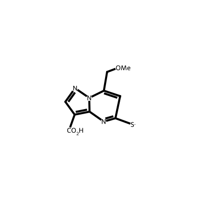 COCc1cc([S])nc2c(C(=O)O)cnn12